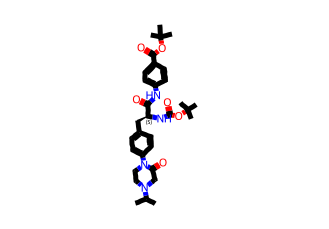 CC(C)N1CCN(c2ccc(C[C@H](NC(=O)OC(C)(C)C)C(=O)Nc3ccc(C(=O)OC(C)(C)C)cc3)cc2)C(=O)C1